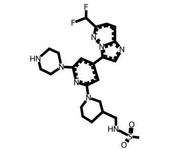 CS(=O)(=O)NCC1CCCN(c2cc(-c3cnc4ccc(C(F)F)nn34)cc(N3CCNCC3)n2)C1